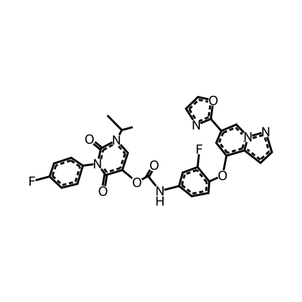 CC(C)n1cc(OC(=O)Nc2ccc(Oc3cc(-c4ncco4)cn4nccc34)c(F)c2)c(=O)n(-c2ccc(F)cc2)c1=O